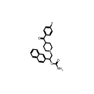 NC(=O)OC(CN1CCC(C(=O)c2ccc(F)cc2)CC1)c1ccc2ccccc2c1